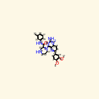 COc1ccc(-c2ccc3nc(N)nc(N4CCCNCC4C(=O)Nc4cccc(C)c4)c3n2)cc1OC